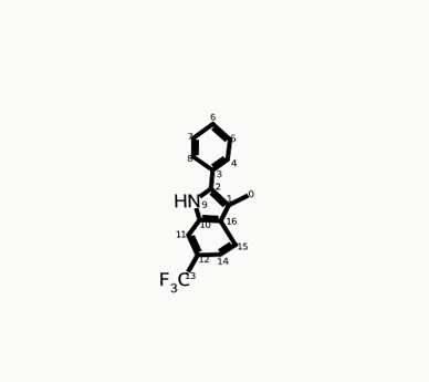 Cc1c(-c2ccccc2)[nH]c2cc(C(F)(F)F)ccc12